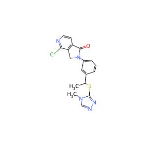 CC(Sc1nncn1C)c1cccc(N2Cc3c(ccnc3Cl)C2=O)c1